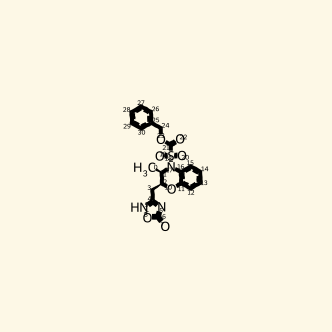 C[C@@H]1[C@H](Cc2nc(=O)o[nH]2)Oc2ccccc2N1S(=O)(=O)C(=O)OCc1ccccc1